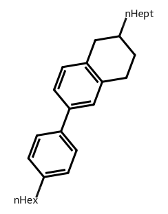 CCCCCCCC1CCc2cc(-c3ccc(CCCCCC)cc3)ccc2C1